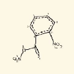 O=[N+]([O-])OC(=S)c1ccccc1[N+](=O)[O-]